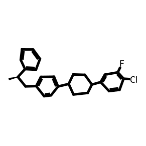 C[C@H](Cc1ccc(C2CCC(c3ccc(Cl)c(F)c3)CC2)cc1)c1ccccc1